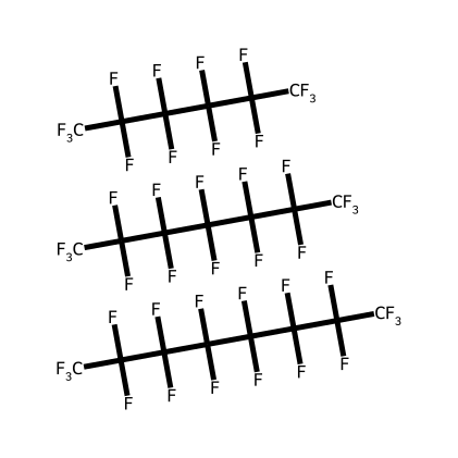 FC(F)(F)C(F)(F)C(F)(F)C(F)(F)C(F)(F)C(F)(F)C(F)(F)C(F)(F)F.FC(F)(F)C(F)(F)C(F)(F)C(F)(F)C(F)(F)C(F)(F)C(F)(F)F.FC(F)(F)C(F)(F)C(F)(F)C(F)(F)C(F)(F)C(F)(F)F